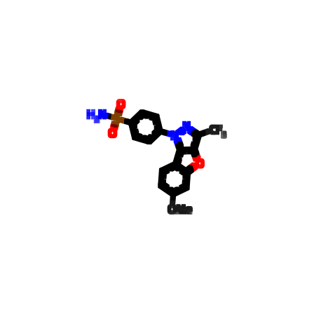 COc1ccc2c(c1)oc1c(C(F)(F)F)nn(-c3ccc(S(N)(=O)=O)cc3)c12